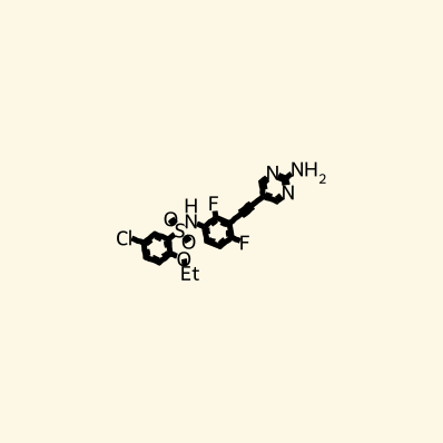 CCOc1ccc(Cl)cc1S(=O)(=O)Nc1ccc(F)c(C#Cc2cnc(N)nc2)c1F